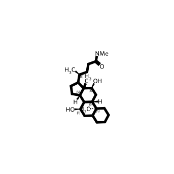 CNC(=O)CC[C@H](C)C1CC[C@H]2C3[C@H](O)CC4CCCC[C@]4(C)[C@H]3C[C@H](O)C12C